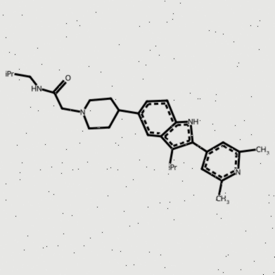 Cc1cc(-c2[nH]c3ccc(C4CCN(CC(=O)NCC(C)C)CC4)cc3c2C(C)C)cc(C)n1